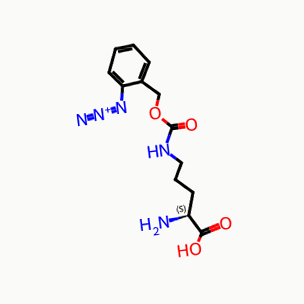 [N-]=[N+]=Nc1ccccc1COC(=O)NCCC[C@H](N)C(=O)O